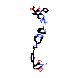 CC(=O)c1c(C)c2cnc(Nc3ccc(N4CCC(N5CC(F)(Cc6cccc(C7CCC(=O)NC7=O)c6)C5)CC4)cn3)nc2n(C2CCCC2)c1=O